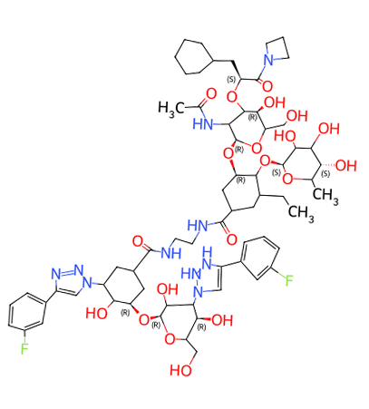 CCC1CC(C(=O)NCCNC(=O)C2CC(n3cc(-c4cccc(F)c4)nn3)C(O)[C@H](O[C@@H]3OC(CO)[C@H](O)C(N4C=C(c5cccc(F)c5)NN4)C3O)C2)C[C@@H](O[C@@H]2OC(CO)[C@H](O)C(O[C@@H](CC3CCCCC3)C(=O)N3CCC3)C2NC(C)=O)C1O[C@@H]1OC(C)[C@@H](O)C(O)C1O